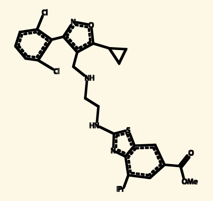 COC(=O)c1cc(C(C)C)c2nc(NCCNCc3c(-c4c(Cl)cccc4Cl)noc3C3CC3)sc2c1